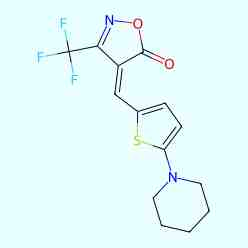 O=C1ON=C(C(F)(F)F)/C1=C/c1ccc(N2CCCCC2)s1